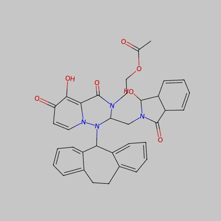 CC(=O)OCCN1C(=O)c2c(O)c(=O)ccn2N(C2c3ccccc3CCc3ccccc32)C1CN1C(=O)C2C=CC=CC2C1O